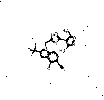 Cc1noc(C)c1-c1nc(Cn2c(C(F)(F)F)cc3c(Cl)c(C#N)ccc32)no1